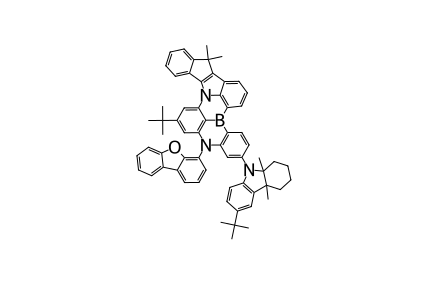 CC(C)(C)c1cc2c3c(c1)-n1c4c(c5cccc(c51)B3c1ccc(N3c5ccc(C(C)(C)C)cc5C5(C)CCCCC35C)cc1N2c1cccc2c1oc1ccccc12)C(C)(C)c1ccccc1-4